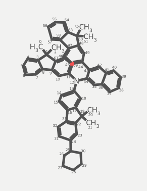 CC1(C)c2ccccc2-c2cc(N(c3ccc4c(c3)C(C)(C)c3cc(C5CCCCC5)ccc3-4)c3cc4ccccc4cc3-c3ccc4c(c3)C(C)(C)c3ccccc3-4)ccc21